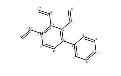 C=Cc1c(-c2ccccc2)cc[n+](C=C)c1C=C